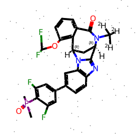 [2H]C([2H])([2H])N1C(=O)c2cccc(OC(F)F)c2[C@H]2C[C@@H]1c1nc3ccc(-c4cc(F)c(P(C)(C)=O)c(F)c4)cc3n12